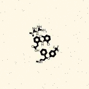 CN(C)C(=N)NC(=N)N.CNCCC(Oc1ccc(C(F)(F)F)cc1)c1ccccc1.O=C(O)Cc1ccccc1Nc1c(Cl)cccc1Cl